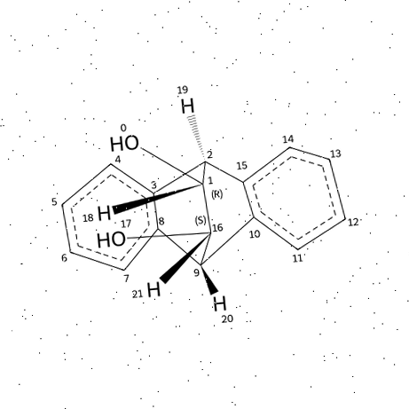 O[C@@H]1[C@H]2c3ccccc3[C@@H](c3ccccc32)[C@@H]1O